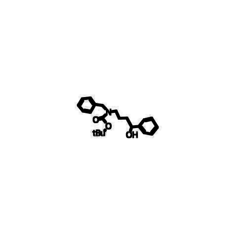 CC(C)(C)OC(=O)N(CCCC(O)c1ccccc1)Cc1ccccc1